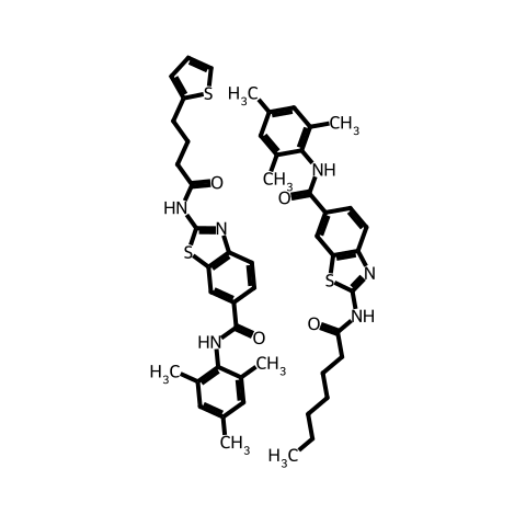 CCCCCCC(=O)Nc1nc2ccc(C(=O)Nc3c(C)cc(C)cc3C)cc2s1.Cc1cc(C)c(NC(=O)c2ccc3nc(NC(=O)CCCc4cccs4)sc3c2)c(C)c1